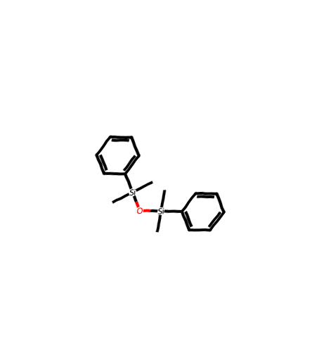 C[Si](C)(O[Si](C)(C)c1ccccc1)c1ccccc1